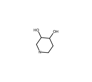 OC1CC[N]CC1O